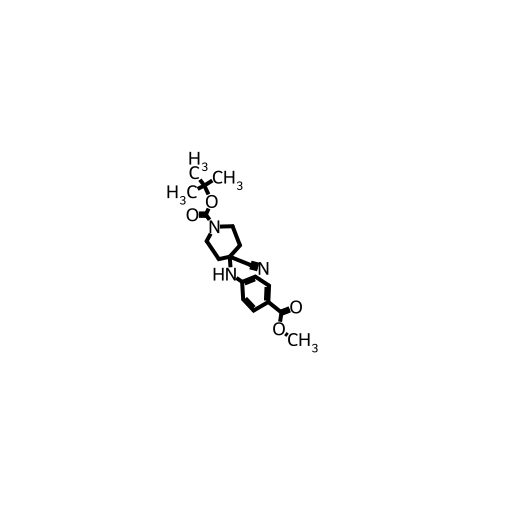 COC(=O)c1ccc(NC2(C#N)CCN(C(=O)OC(C)(C)C)CC2)cc1